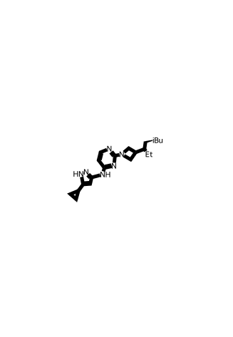 CCC(C[C@H](C)CC)C1CN(c2nccc(Nc3cc(C4CC4)[nH]n3)n2)C1